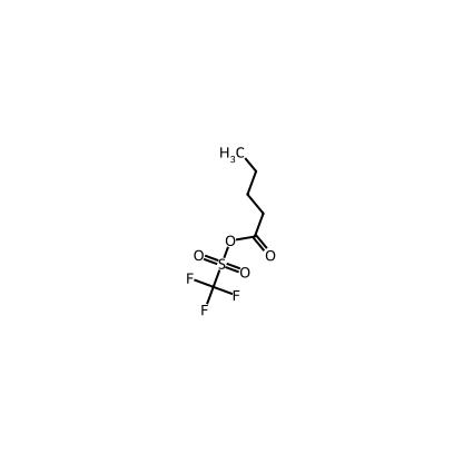 CCCCC(=O)OS(=O)(=O)C(F)(F)F